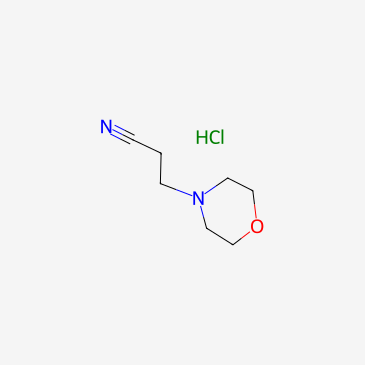 Cl.N#CCCN1CCOCC1